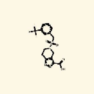 O=C(O)c1noc2c1CN(S(=O)(=O)Cc1cccc(C(F)(F)F)c1)CC2